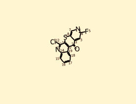 O=c1c2cc(F)ncc2sc2c(Cl)nc3ccccc3c12